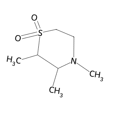 CC1C(C)S(=O)(=O)CCN1C